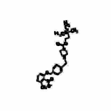 C[Si](C)(C)CCOC(=O)N1CCN(Cc2ccc(COc3cccc(O)c3[N+](=O)[O-])cc2)CC1